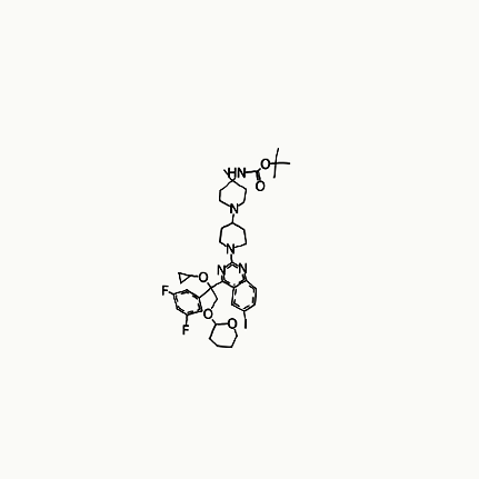 CC1(NC(=O)OC(C)(C)C)CCN(C2CCN(c3nc(C(COC4CCCCO4)(OC4CC4)c4cc(F)cc(F)c4)c4cc(I)ccc4n3)CC2)CC1